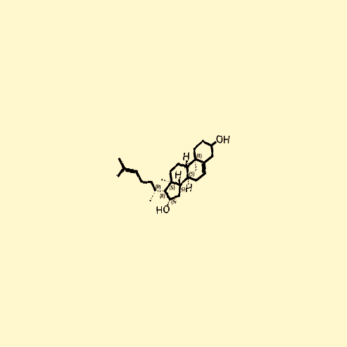 CC(C)=CCC[C@@H](C)[C@H]1[C@@H](O)C[C@H]2[C@@H]3CC=C4CC(O)CC[C@]4(C)[C@H]3CC[C@]12C